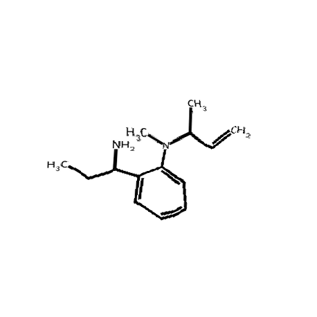 C=CC(C)N(C)c1ccccc1C(N)CC